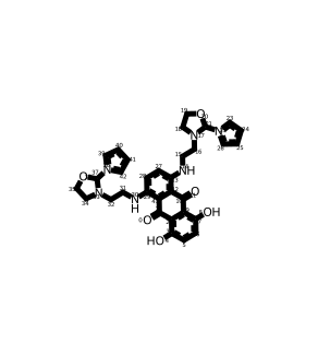 O=C1c2c(O)ccc(O)c2C(=O)c2c(NCCN3CCOC3n3cccc3)ccc(NCCN3CCOC3n3cccc3)c21